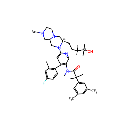 CC(=O)N1CCN2C[C@@H](CCC(C)(C)[Si](C)(C)O)N(c3cc(-c4ccc(F)cc4C)c(N(C)C(=O)C(C)(C)c4cc(C(F)(F)F)cc(C(F)(F)F)c4)cn3)CC2C1